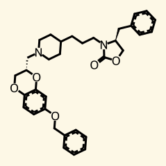 O=C1OC[C@H](Cc2ccccc2)N1CCCC1CCN(C[C@H]2COc3ccc(OCc4ccccc4)cc3O2)CC1